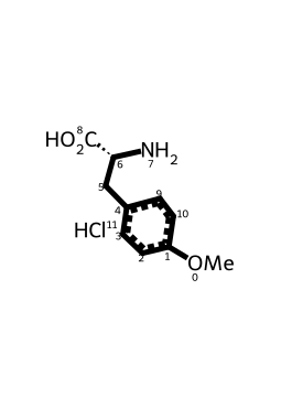 COc1ccc(C[C@@H](N)C(=O)O)cc1.Cl